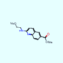 COCCNc1ccc2cc(C(=O)OC)ccc2n1